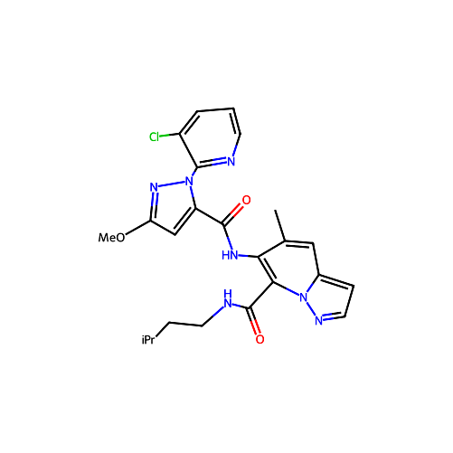 COc1cc(C(=O)Nc2c(C)cc3ccnn3c2C(=O)NCCC(C)C)n(-c2ncccc2Cl)n1